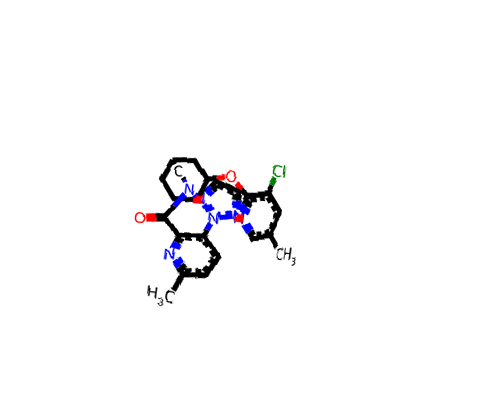 Cc1cnc(OC2CC3CCC2N(C(=O)c2nc(C)ccc2-n2nccn2)C3)c(Cl)c1